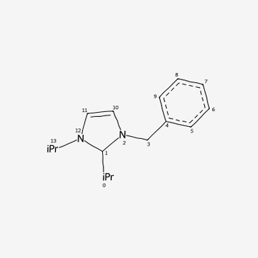 CC(C)C1N(Cc2ccccc2)C=CN1C(C)C